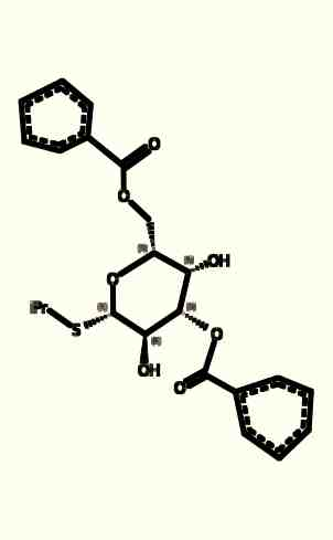 CC(C)S[C@@H]1O[C@H](COC(=O)c2ccccc2)[C@H](O)[C@H](OC(=O)c2ccccc2)[C@H]1O